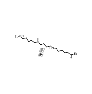 CCNCCCCCNCCCCNCCCCCNCC.Cl.Cl.Cl.Cl